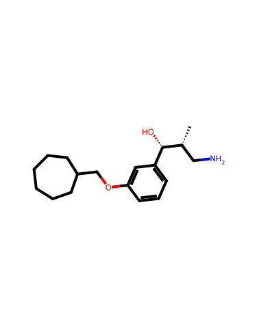 C[C@H](CN)[C@@H](O)c1cccc(OCC2CCCCCC2)c1